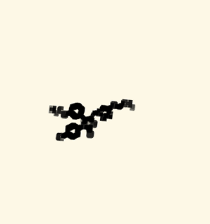 CCOc1cn(C[C@@H]2OC(=O)N(c3ccc(Cl)cc3)[C@H]2c2cccc(OC)c2)nn1